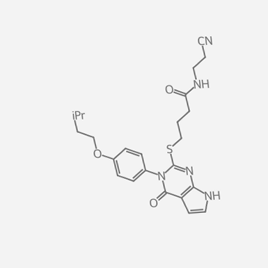 CC(C)CCOc1ccc(-n2c(SCCCC(=O)NCCC#N)nc3[nH]ccc3c2=O)cc1